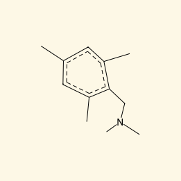 Cc1cc(C)c(CN(C)C)c(C)c1